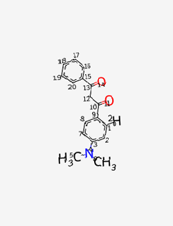 [2H]c1cc(N(C)C)ccc1C(=O)CC(=O)c1ccccc1